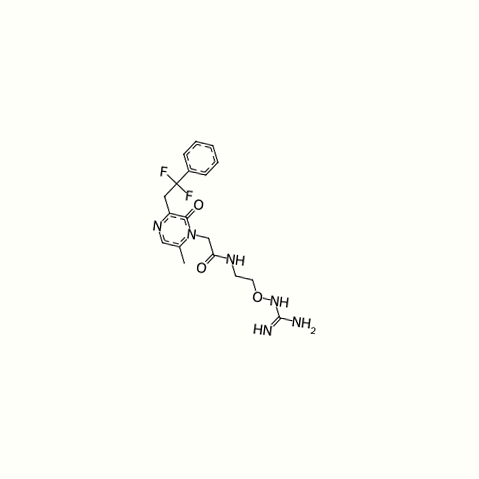 Cc1cnc(CC(F)(F)c2ccccc2)c(=O)n1CC(=O)NCCONC(=N)N